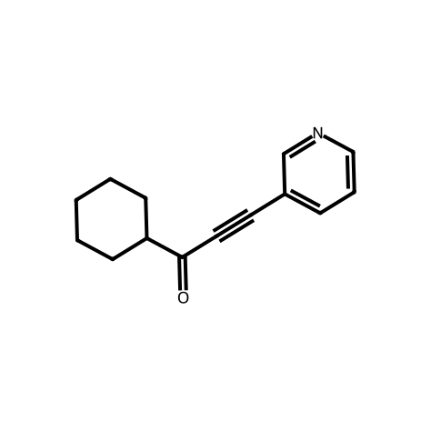 O=C(C#Cc1cccnc1)C1CCCCC1